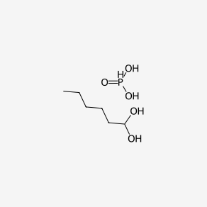 CCCCCC(O)O.O=[PH](O)O